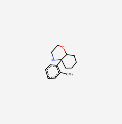 COc1ccccc1C12CCCCC1OCCN2